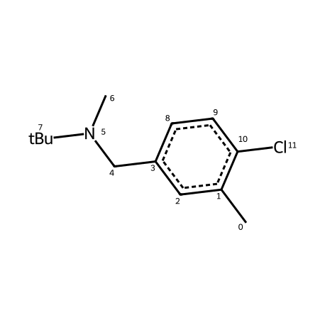 Cc1cc(CN(C)C(C)(C)C)ccc1Cl